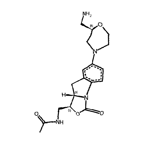 CC(=O)NC[C@@H]1OC(=O)N2c3ccc(N4CCO[C@H](CN)C4)cc3C[C@@H]12